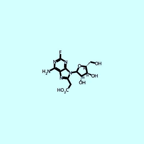 Nc1nc(F)nc2c1nc(CC(=O)O)n2C1O[C@H](CO)[C@@H](O)[C@@H]1O